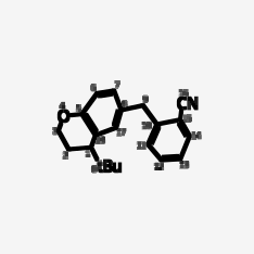 CC(C)(C)C1CCOc2ccc(Cc3ccccc3C#N)cc21